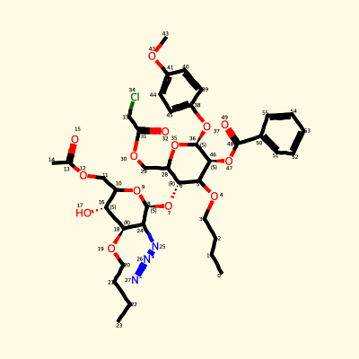 CCCCOC1[C@H](O[C@@H]2OC(COC(C)=O)[C@@H](O)[C@H](OCCCC)C2N=[N+]=[N-])C(COC(=O)CCl)O[C@@H](Oc2ccc(OC)cc2)[C@H]1OC(=O)c1ccccc1